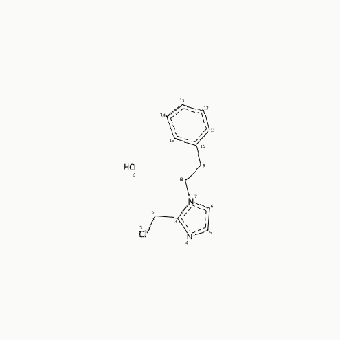 Cl.ClCc1nccn1CCc1ccccc1